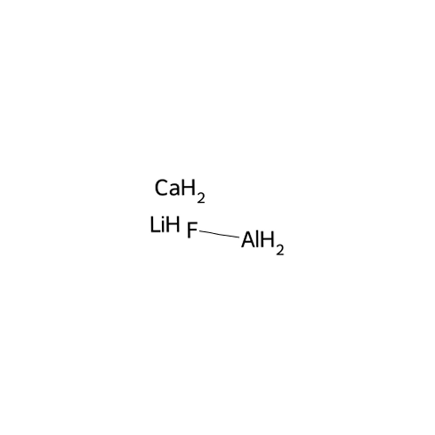 [CaH2].[F][AlH2].[LiH]